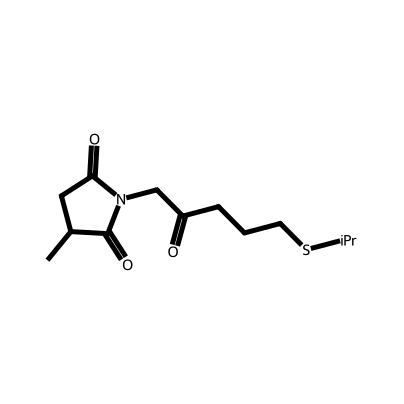 CC(C)SCCCC(=O)CN1C(=O)CC(C)C1=O